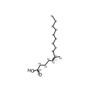 CCCCCCCCC/C(C)=C\CCCC(=O)O